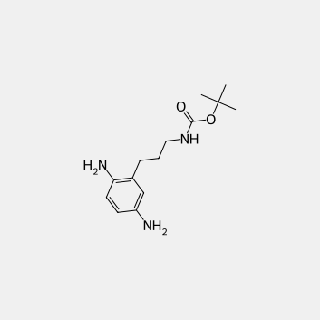 CC(C)(C)OC(=O)NCCCc1cc(N)ccc1N